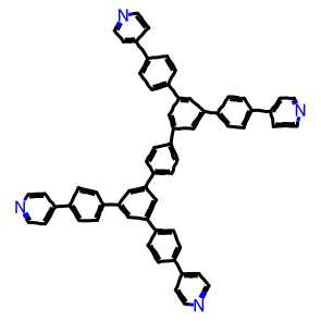 c1cc(-c2ccc(-c3cc(-c4ccc(-c5ccncc5)cc4)cc(-c4ccc(-c5cc(-c6ccc(-c7ccncc7)cc6)cc(-c6ccc(-c7ccncc7)cc6)c5)cc4)c3)cc2)ccn1